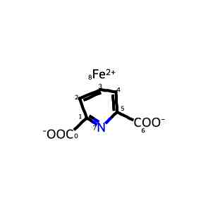 O=C([O-])c1cccc(C(=O)[O-])n1.[Fe+2]